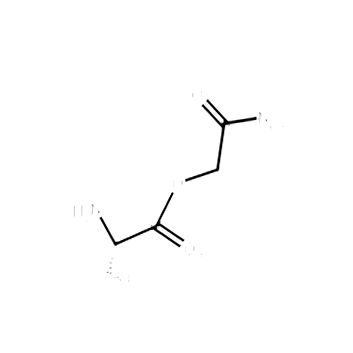 CCCC[C@H](N)C(=O)OCC(N)=O